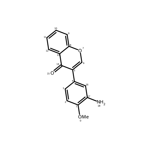 COc1ccc(-c2coc3ccccc3c2=O)cc1N